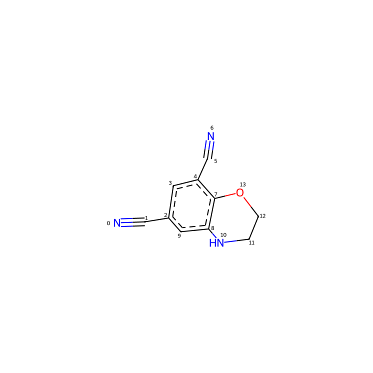 N#Cc1cc(C#N)c2c(c1)NCCO2